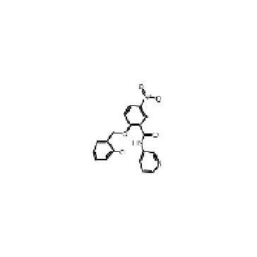 O=C(Nc1cccnc1)c1cc([N+](=O)[O-])ccc1OCc1ccccc1Cl